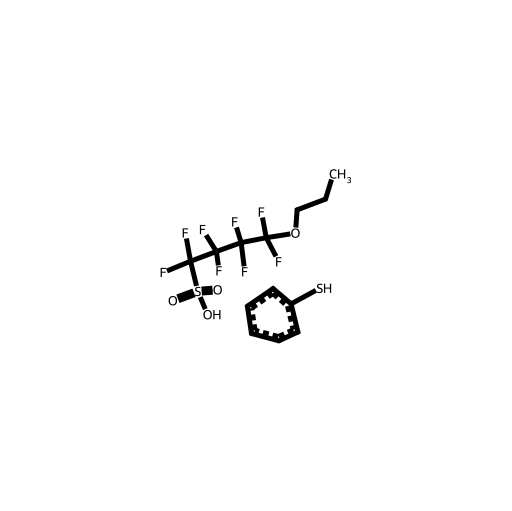 CCCOC(F)(F)C(F)(F)C(F)(F)C(F)(F)S(=O)(=O)O.Sc1ccccc1